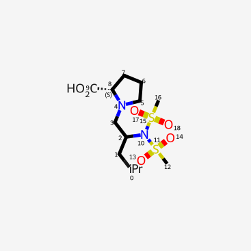 CC(C)CC(CN1CCC[C@H]1C(=O)O)N(S(C)(=O)=O)S(C)(=O)=O